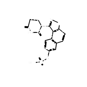 CS(=O)(=O)Nc1ccc2c(ccc3onc([C@@H]4CCC(=O)NC4=O)c32)c1